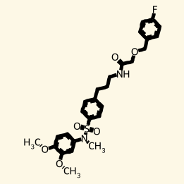 COc1ccc(N(C)S(=O)(=O)c2ccc(CCCNC(=O)COCc3ccc(F)cc3)cc2)cc1OC